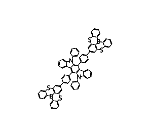 c1ccc(-n2c3ccccc3c3c(-c4ccc(-c5cc6c7c(c5)Sc5ccccc5B7c5ccccc5S6)cc4)c4c(c(-c5ccc(-c6cc7c8c(c6)Sc6ccccc6B8c6ccccc6S7)cc5)c32)c2ccccc2n4-c2ccccc2)cc1